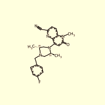 C[C@@H]1CN(c2cc(=O)n(C)c3ccc(C#N)nc23)[C@@H](C)CN1Cc1ccc(F)cc1